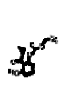 CCOC(=O)COc1cccc(O)c1C(=O)C1CC1